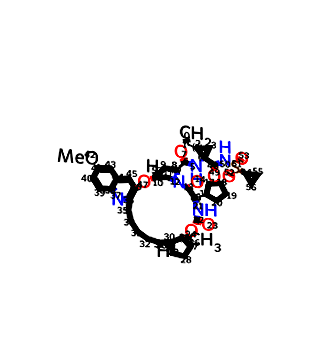 C=C[C@@H]1C[C@]1(NC(=O)[C@@H]1C[C@@H]2CN1C(=O)[C@H](C1CCCC1)NC(=O)O[C@]1(C)CCC[C@H]1CCCCCc1nc3ccc(OC)cc3cc1O2)C(=O)NS(=O)(=O)C1CC1